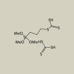 CO[Si](CCCSC(=S)S)(OC)OC.S=C(S)S